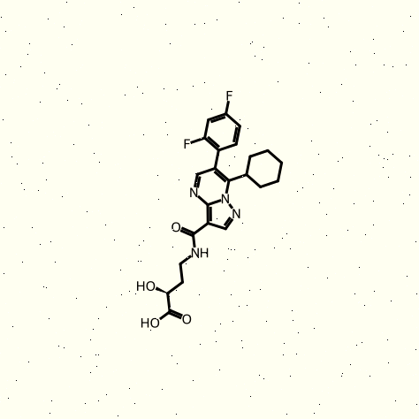 O=C(NCC[C@H](O)C(=O)O)c1cnn2c(C3CCCCC3)c(-c3ccc(F)cc3F)cnc12